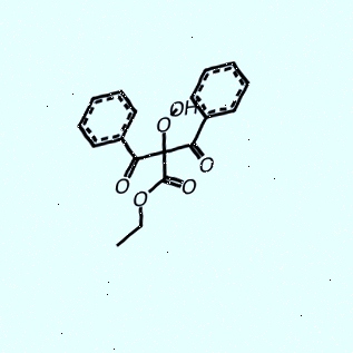 CCOC(=O)C(OO)(C(=O)c1ccccc1)C(=O)c1ccccc1